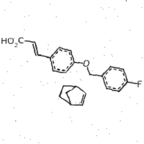 C1=CC2CCC1C2.O=C(O)C=Cc1ccc(OCc2ccc(F)cc2)cc1